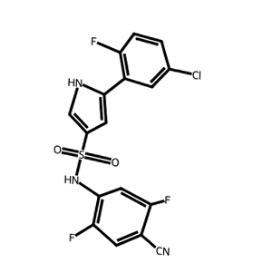 N#Cc1cc(F)c(NS(=O)(=O)c2c[nH]c(-c3cc(Cl)ccc3F)c2)cc1F